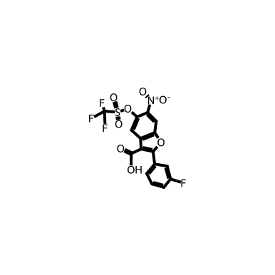 O=C(O)c1c(-c2cccc(F)c2)oc2cc([N+](=O)[O-])c(OS(=O)(=O)C(F)(F)F)cc12